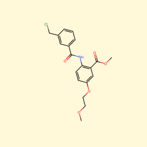 COCCOc1ccc(NC(=O)c2cccc(CCl)c2)c(C(=O)OC)c1